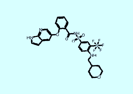 O=C(NS(=O)(=O)c1ccc(NCC2CCOCC2)c(S(F)(F)(F)(F)F)c1)c1ccccc1Oc1cnc2[nH]ccc2c1